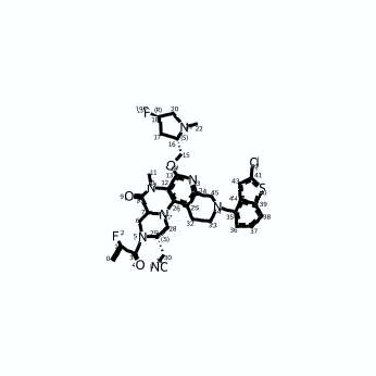 C=C(F)C(=O)N1CC2C(=O)N(C)c3c(OC[C@@H]4C[C@@H](F)CN4C)nc4c(c3N2C[C@@H]1CC#N)CCN(c1cccc2sc(Cl)cc12)C4